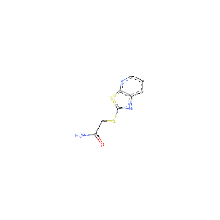 NC(=O)CSc1nc2cccnc2s1